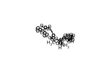 CC(C)CC(OCc1cn([C@H]2C[C@@H](O)[C@@H](COP(=O)(O)OP(=O)(O)OP(=O)(O)O)O2)c2nc(N)[nH]c(=O)c12)c1ccc(C#CCNC(=O)c2ccc(C=O)c(C3=c4cc5c6c(c4Oc4c3cc3c7c4CCCN7CCC3)CCC[N+]=6CCC5)c2)cc1[N+](=O)[O-]